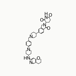 O=C1CCC(N2Cc3cc(C4CCN(Cc5ccc(N6CCC(Nc7cc8c(cn7)CCCO8)CC6)cc5)CC4)ccc3C2=O)C(=O)N1